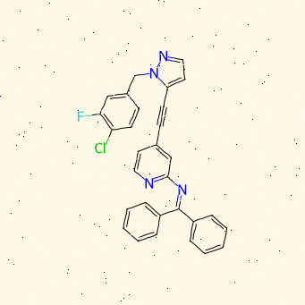 Fc1cc(Cn2nccc2C#Cc2ccnc(N=C(c3ccccc3)c3ccccc3)c2)ccc1Cl